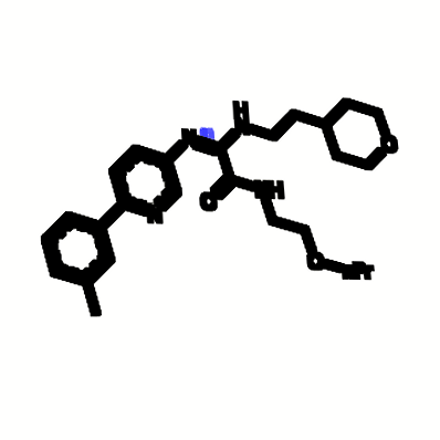 CCCOCCNC(=O)/C(=N\c1ccc(-c2cccc(C)c2)nc1)NCCC1CCOCC1